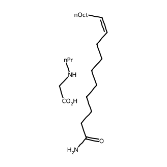 CCCCCCCC/C=C\CCCCCCCC(N)=O.CCCNCC(=O)O